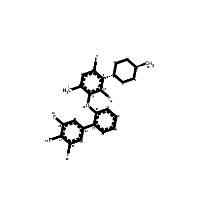 Cc1cc(F)c([C@H]2CC[C@H](C)CC2)c(F)c1Oc1ccccc1-c1cc(F)c(F)c(F)c1